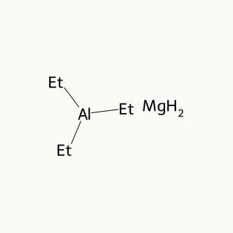 C[CH2][Al]([CH2]C)[CH2]C.[MgH2]